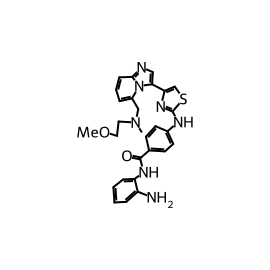 COCCN(C)Cc1cccc2ncc(-c3csc(Nc4ccc(C(=O)Nc5ccccc5N)cc4)n3)n12